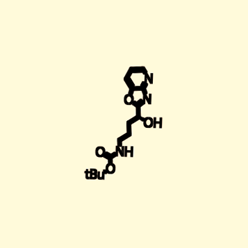 CC(C)(C)OC(=O)NCCC[C@H](O)c1nc2ncccc2o1